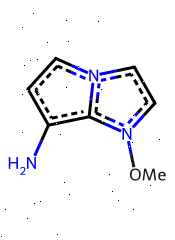 COn1ccn2ccc(N)c12